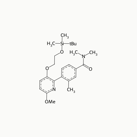 COc1ccc(OCCO[Si](C)(C)C(C)(C)C)c(-c2ccc(C(=O)N(C)C)cc2C)n1